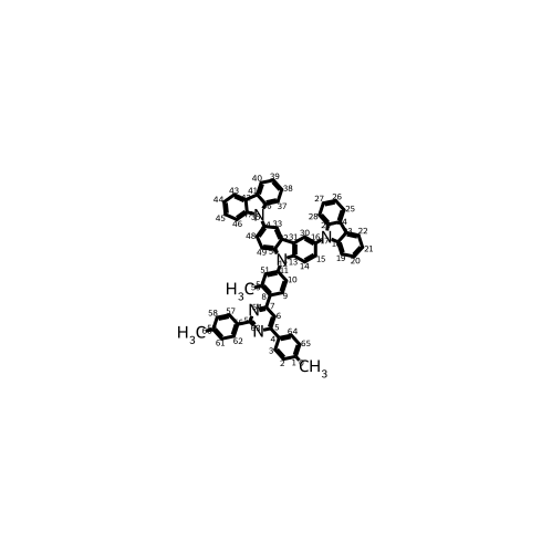 Cc1ccc(-c2cc(-c3ccc(-n4c5ccc(-n6c7ccccc7c7ccccc76)cc5c5cc(-n6c7ccccc7c7ccccc76)ccc54)cc3C)nc(-c3ccc(C)cc3)n2)cc1